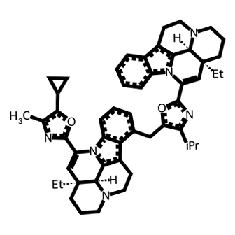 CC[C@@]12C=C(c3nc(C(C)C)c(Cc4cccc5c4c4c6n5C(c5nc(C)c(C7CC7)o5)=C[C@]5(CC)CCCN(CC4)[C@H]65)o3)n3c4c(c5ccccc53)CCN(CCC1)[C@H]42